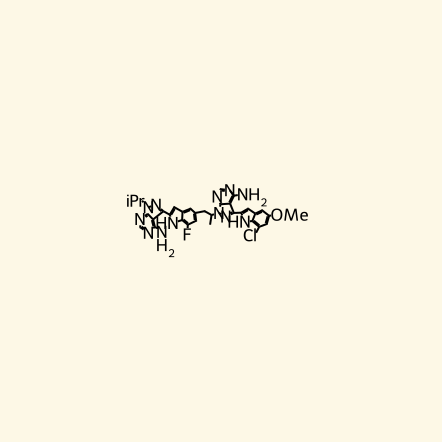 COc1cc(Cl)c2[nH]c(-c3nn(C(C)Cc4cc(F)c5[nH]c(-c6nn(C(C)C)c7ncnc(N)c67)cc5c4)c4ncnc(N)c34)cc2c1